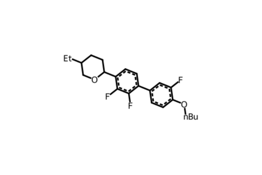 CCCCOc1ccc(-c2ccc(C3CCC(CC)CO3)c(F)c2F)cc1F